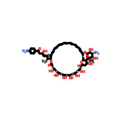 CC1/C=C/C=C/C=C/C=C/C=C/C=C/C=C/C(OC2O[C@@H](C)[C@H](O)[C@@H](N)[C@H]2O)CC2OC(O)(CC(O)CC(O)CC(O)CC(O)CC(O)CC(O)CC(=O)OC1C(C)CCC(O)CC(=O)c1ccc(N)cc1)CC(O)C2C(=O)O